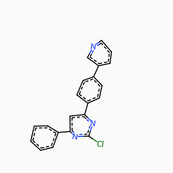 Clc1nc(-c2ccccc2)cc(-c2ccc(-c3cccnc3)cc2)n1